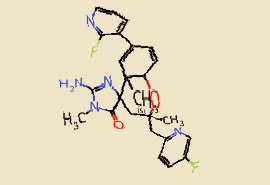 CN1C(=O)C2(C[C@@](C)(Cc3ccc(F)cn3)OC3C=CC(c4cccnc4F)=CC32C)N=C1N